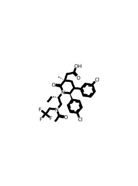 CC[C@@H](CN(CC(F)(F)F)C(C)=O)N1C(=O)[C@@](C)(CC(=O)O)CC(c2cccc(Cl)c2)[C@H]1c1ccc(Cl)cc1